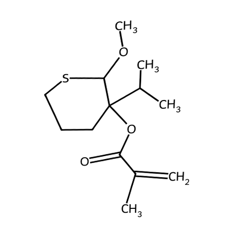 C=C(C)C(=O)OC1(C(C)C)CCCSC1OC